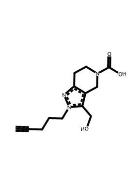 C#CCCCn1nc2c(c1CO)CN(C(=O)O)CC2